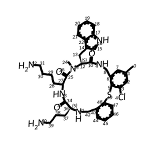 Cc1cc(Cl)c2c(c1)CNC(=O)[C@H](Cc1c[nH]c3ccccc13)N(C)C(=O)C(CCCCN)NC(=O)[C@H](CCCN)NCc1ccccc1S2